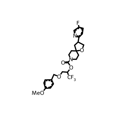 COc1ccc(COCC(OC(=O)N2CCC3(CC2)CC(c2ccc(F)cn2)CO3)C(F)(F)F)cc1